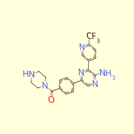 Nc1ncc(-c2ccc(C(=O)N3CCNCC3)cc2)nc1-c1ccc(C(F)(F)F)nc1